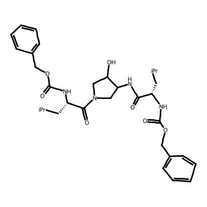 CC(C)C[C@H](NC(=O)OCc1ccccc1)C(=O)NC1CN(C(=O)[C@H](CC(C)C)NC(=O)OCc2ccccc2)CC1O